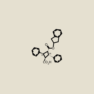 O=C(O)[C@H]1[C@@H](c2ccccc2)[C@H](C(=O)OC2Cc3ccccc3C2)[C@@H]1c1ccccc1